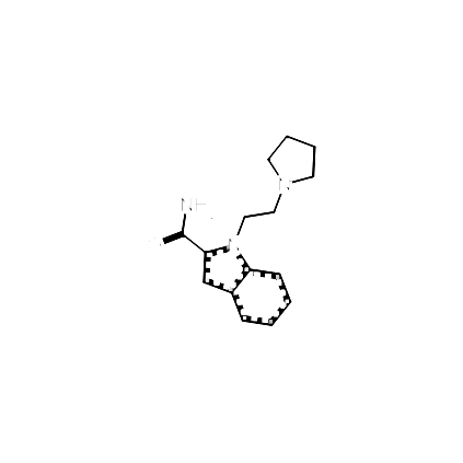 NC(=O)c1cc2c[c]ccc2n1CCN1CCCC1